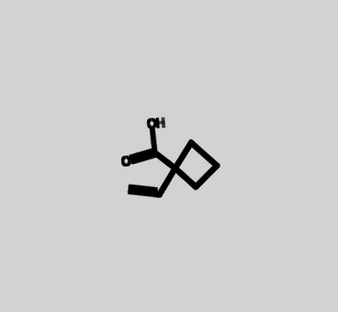 C=CC1(C(=O)O)CCC1